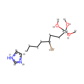 CCCCC(Br)CC[Si](OC)(OC)OC.c1c[nH]cn1